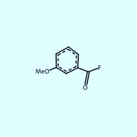 COc1cccc(C(=O)F)c1